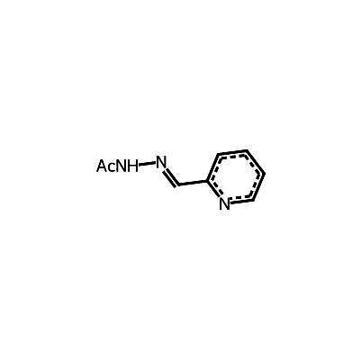 [CH2]C(=O)NN=Cc1ccccn1